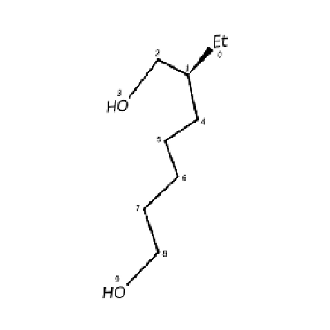 CC[C@H](CO)CCCCCO